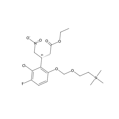 CCOC(=O)C[C@@H](C[N+](=O)[O-])c1c(OCOCC[Si](C)(C)C)ccc(F)c1Cl